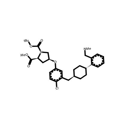 CNCc1ccccc1[C@H]1CC[C@H](Cc2cc(O[C@H]3C[C@@H](C(=O)OC)N(C(=O)OC(C)(C)C)C3)ccc2Cl)CC1